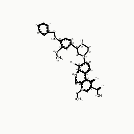 CCn1cc(C(=O)O)c(=O)c2c3ccc(N4CCNC(c5ccc(OCc6ccccc6)c(OC)c5)C4)c(F)c3ncc21